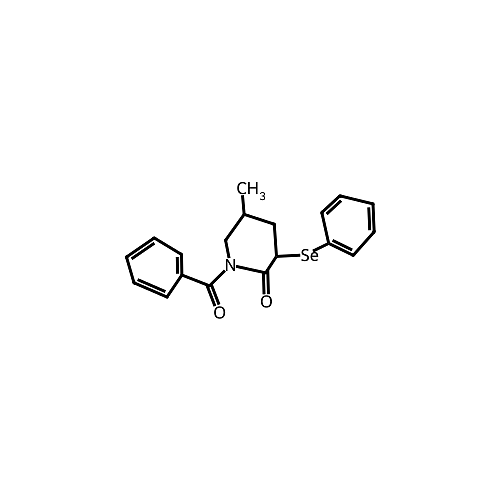 CC1CC([Se]c2ccccc2)C(=O)N(C(=O)c2ccccc2)C1